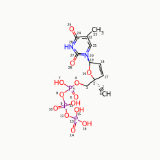 C#C[C@@]1(COP(=O)(O)OP(=O)(O)OP(=O)(O)O)C=C[C@H](n2cc(C)c(=O)[nH]c2=O)O1